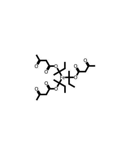 CC[C](C)(OC(=O)CC(C)=O)[Fe]([C](C)(CC)OC(=O)CC(C)=O)[C](C)(CC)OC(=O)CC(C)=O